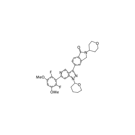 COc1cc(OC)c(F)c(-c2cc3c(cn2)c(-c2ccc4c(c2)CN(C2CCOCC2)C4=O)nn3C2CCCCO2)c1F